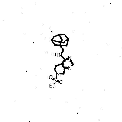 CCS(=O)(=O)N1CCc2c(ncnc2NCC23CC4CC(CC(C4)C2)C3)C1